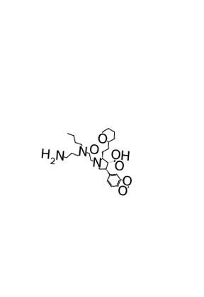 CCCCN(CCCN)C(=O)CN1C[C@H](c2ccc3c(c2)OCO3)[C@@H](C(=O)O)[C@@H]1CCC1CCCCO1